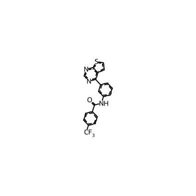 O=C(Nc1cccc(-c2ncnc3sccc23)c1)c1ccc(C(F)(F)F)cc1